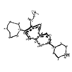 CNc1cc2sc(N3CCNCC3)nc2nc1N1CCCCC1